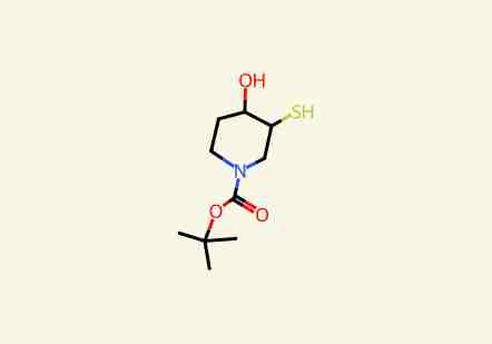 CC(C)(C)OC(=O)N1CCC(O)C(S)C1